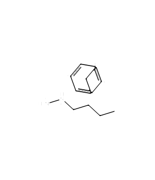 CCCCNN.c1cc2cc(c1)C2